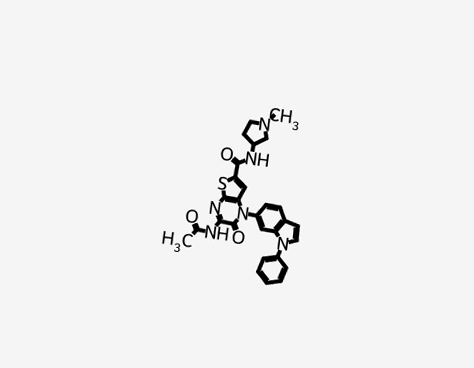 CC(=O)Nc1nc2sc(C(=O)NC3CCN(C)C3)cc2n(-c2ccc3ccn(-c4ccccc4)c3c2)c1=O